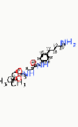 CC(C)(C)OC(=O)NCCC(=O)Nc1ccc(CCCCN)cc1